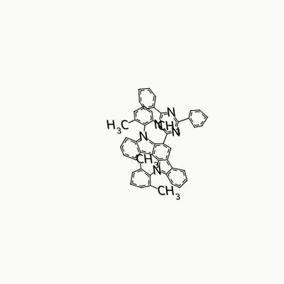 Cc1cccc(C)c1-n1c2ccccc2c2c1c(-c1nc(-c3ccccc3)nc(-c3ccccc3)n1)cc1c3ccccc3n(-c3c(C)cccc3C)c12